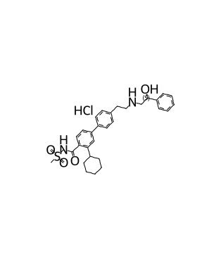 CS(=O)(=O)NC(=O)c1ccc(-c2ccc(CCNC[C@@H](O)c3ccccc3)cc2)cc1C1CCCCC1.Cl